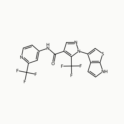 O=C(Nc1ccnc(C(F)(F)F)c1)c1cnn(-c2csc3[nH]ccc23)c1C(F)(F)F